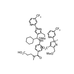 COCC1=N[N+](C)(c2cc(C(F)(F)F)ccn2)C=C1C(=O)O.COCc1nn(-c2cc(C(F)(F)F)ccn2)cc1C(Nc1ccc(C(=O)N(C)CCC(=O)O)cc1)C1CCCCC1